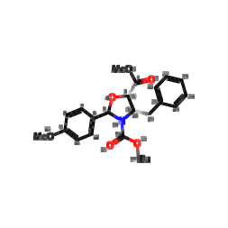 COC(=O)[C@H]1OC(c2ccc(OC)cc2)N(C(=O)OC(C)(C)C)[C@H]1Cc1ccccc1